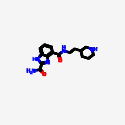 NC(=O)c1nc2c(C(=O)NCCC3CCCNC3)cccc2[nH]1